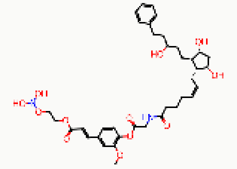 COc1cc(/C=C/C(=O)OCCON(O)O)ccc1OC(=O)CNC(=O)CCC/C=C\C[C@@H]1[C@@H](CC[C@@H](O)CCc2ccccc2)[C@H](O)C[C@@H]1O